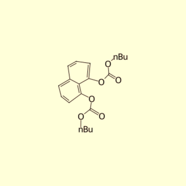 CCCCOC(=O)Oc1cccc2cccc(OC(=O)OCCCC)c12